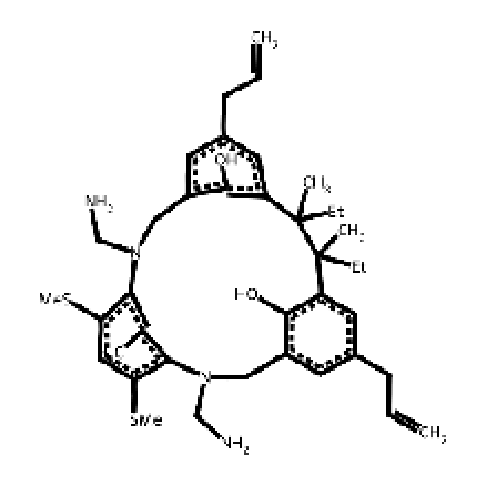 C=CCc1cc2c(O)c(c1)C(C)(CC)C(C)(CC)c1cc(CC=C)cc(c1O)CN(CN)c1c(SC)cc(SC)c(c1C)N(CN)C2